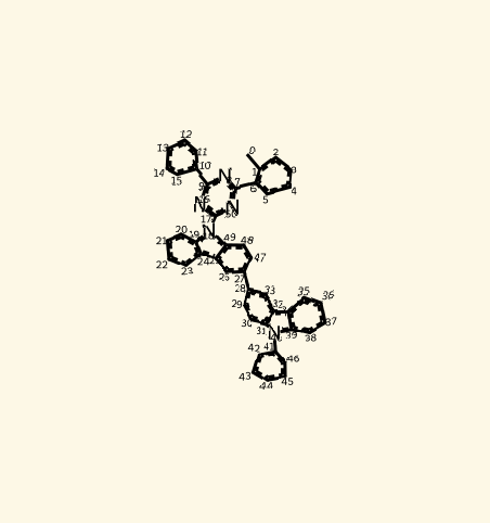 Cc1ccccc1-c1nc(-c2ccccc2)nc(-n2c3ccccc3c3cc(-c4ccc5c(c4)c4ccccc4n5-c4ccccc4)ccc32)n1